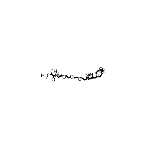 C=C(C)C(=O)NCCOCCOCCOCCn1cc(CN2CCS(=O)(=O)CC2)nn1